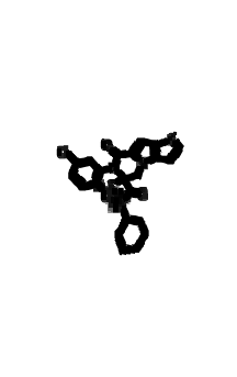 COc1ccc(Cl)cc1N1C(=O)c2cc3sccc3n2CC1(C)C(=O)NC1CCCCC1